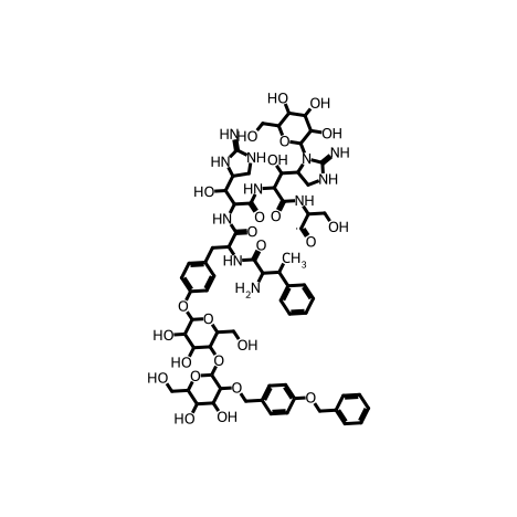 CC(c1ccccc1)C(N)C(=O)NC(Cc1ccc(OC2OC(CO)C(OC3OC(CO)C(O)C(O)C3OCc3ccc(OCc4ccccc4)cc3)C(O)C2O)cc1)C(=O)NC(C(=O)NC(C(=O)NC([C]=O)CO)C(O)C1CNC(=N)N1C1OC(CO)C(O)C(O)C1O)C(O)C1CNC(=N)N1